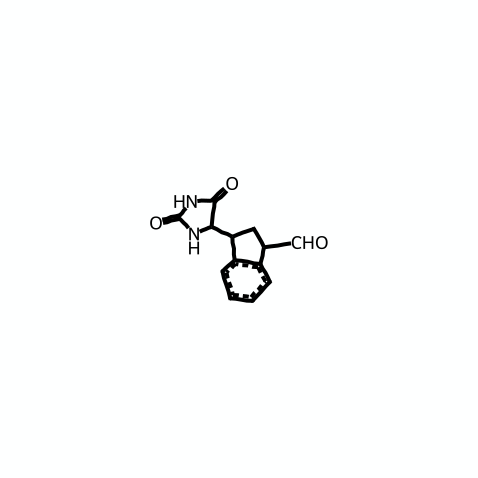 O=CC1CC(C2NC(=O)NC2=O)c2ccccc21